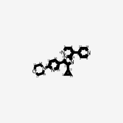 c1cc(-c2ccnn3c(-c4ccc(N5CCOCC5)nc4)c(C4CC4)nc23)ccn1